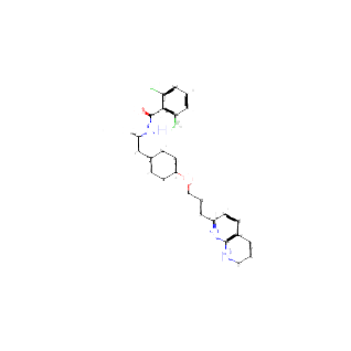 O=C(NC(CC1CCC(OCCCc2ccc3c(n2)NCCC3)CC1)C(=O)O)c1c(Cl)cccc1Cl